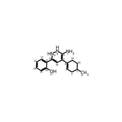 CC1CC=C(C2=C(N)NNC(c3ccccc3O)=C2)CC1